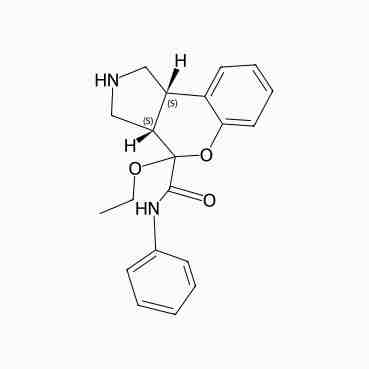 CCOC1(C(=O)Nc2ccccc2)Oc2ccccc2[C@H]2CNC[C@H]21